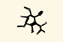 COc1c(F)c(OC)c(C#N)c(N(F)C(C)=O)c1F